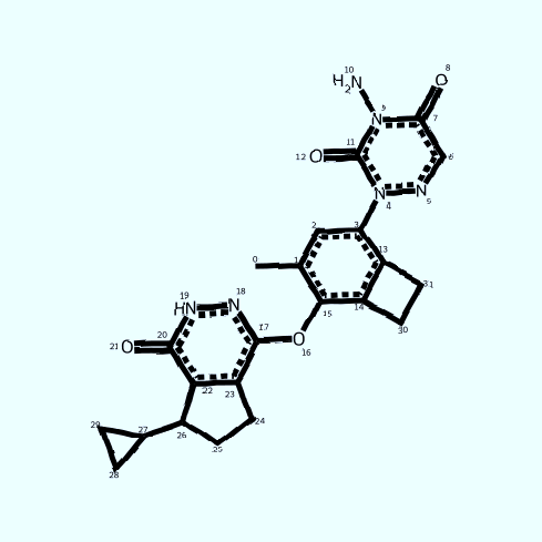 Cc1cc(-n2ncc(=O)n(N)c2=O)c2c(c1Oc1n[nH]c(=O)c3c1CCC3C1CC1)CC2